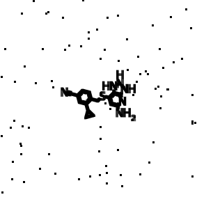 N#Cc1ccc(CSc2cc(N)nc3c2NNN3)c(C2CC2)c1